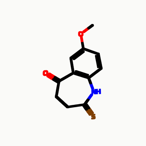 COc1ccc2c(c1)C(=O)CCC(=S)N2